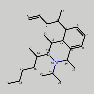 C=CCC(C)C1C=CC=C2C1C(C)B(C(C)CCCC)N(C(C)C)C2C